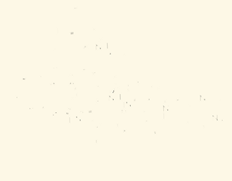 C=C(N[C@]1(C(=O)N[C@H](C(=S)NCc2ccncn2)C(C)CC)CCc2[nH]c3c(C(F)(F)F)cccc3c2C1)[C@@H](NC(=O)Cc1ccccc1F)C(C)CC